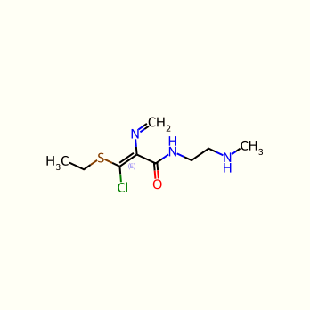 C=N/C(C(=O)NCCNC)=C(/Cl)SCC